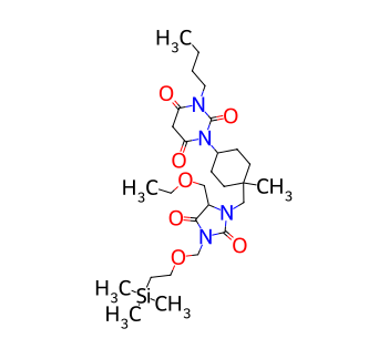 CCCCN1C(=O)CC(=O)N(C2CCC(C)(CN3C(=O)N(COCC[Si](C)(C)C)C(=O)C3COCC)CC2)C1=O